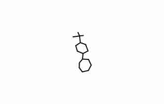 CC(C)(C)C1CCC(C2CCCCCC2)CC1